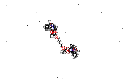 CCC1(COCCCCCCOCC2(CC)COC3(CC(C)(C)N(OC(C)c4ccccc4)C(CC)(CC)C3)OC2)COC2(CC(C)(C)N(OC(C)c3ccccc3)C(C)(CC)C2)OC1